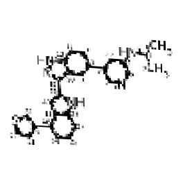 CC(C)Nc1cncc(-c2ccc3[nH]nc(-c4cc5c(-c6ccsc6)cccc5[nH]4)c3c2)c1